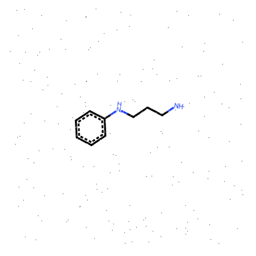 [NH]CCCNc1ccccc1